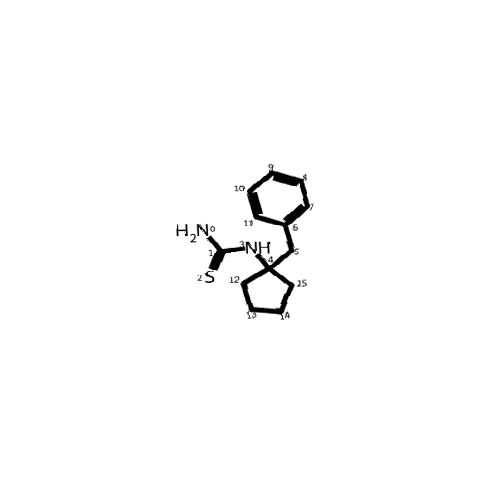 NC(=S)NC1(Cc2ccccc2)CCCC1